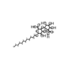 CCCCCCCCCCCCOC1OC(C(=O)O)C(OC2OC(C(=O)O)C(O)C(O)C2O)C(O)C1O